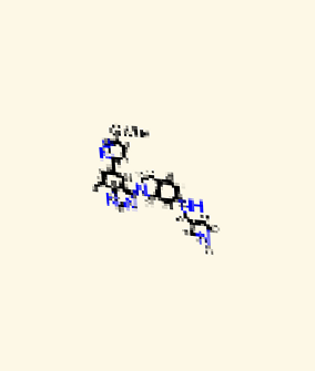 COc1ccc(-c2cc(C)c3ncnc(N4CCc5ccc(NCC6CCN(C)C6)cc5C4)c3c2)nn1